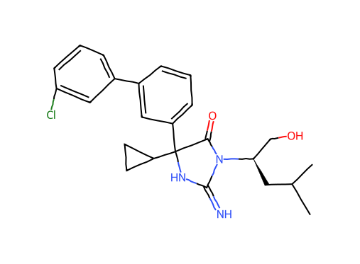 CC(C)C[C@H](CO)N1C(=N)NC(c2cccc(-c3cccc(Cl)c3)c2)(C2CC2)C1=O